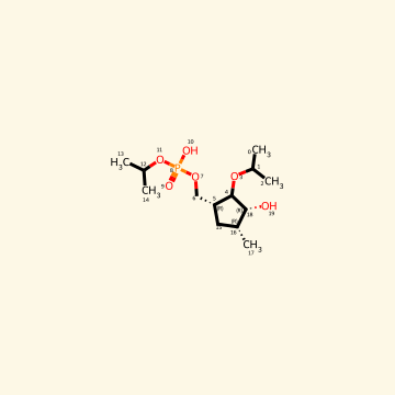 CC(C)OC1[C@@H](COP(=O)(O)OC(C)C)C[C@@H](C)[C@H]1O